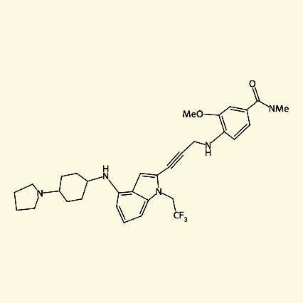 CNC(=O)c1ccc(NCC#Cc2cc3c(NC4CCC(N5CCCC5)CC4)cccc3n2CC(F)(F)F)c(OC)c1